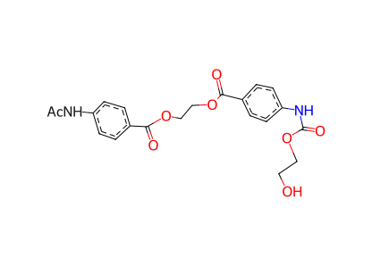 CC(=O)Nc1ccc(C(=O)OCCOC(=O)c2ccc(NC(=O)OCCO)cc2)cc1